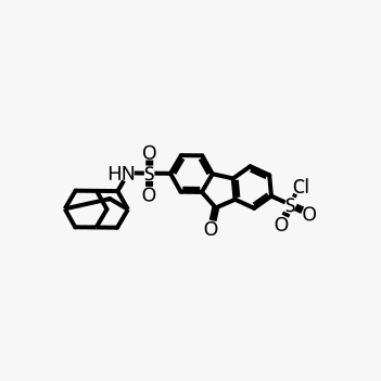 O=C1c2cc(S(=O)(=O)Cl)ccc2-c2ccc(S(=O)(=O)NC3C4CC5CC(C4)CC3C5)cc21